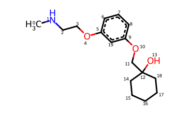 CNCCOc1cccc(OCC2(O)CCCCC2)c1